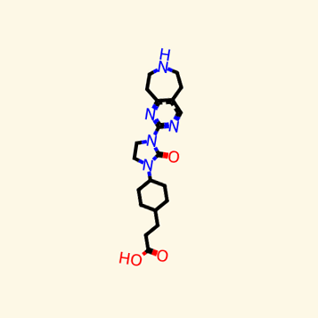 O=C(O)CCC1CCC(N2CCN(c3ncc4c(n3)CCNCC4)C2=O)CC1